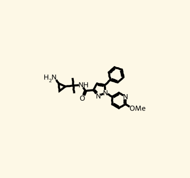 COc1ccc(-n2nc(C(=O)NC(C)(C)C3CC3N)cc2-c2ccccc2)cn1